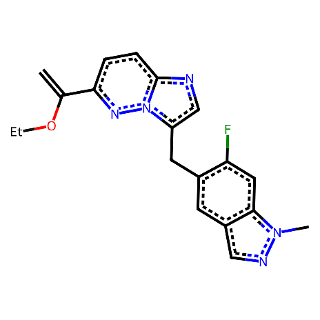 C=C(OCC)c1ccc2ncc(Cc3cc4cnn(C)c4cc3F)n2n1